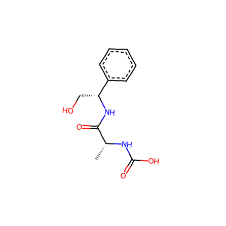 C[C@@H](NC(=O)O)C(=O)N[C@H](CO)c1ccccc1